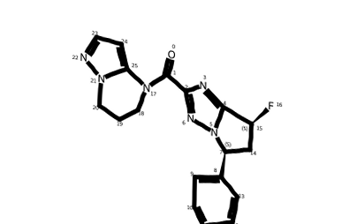 O=C(c1nc2n(n1)[C@H](c1ccccc1)C[C@@H]2F)N1CCCn2nccc21